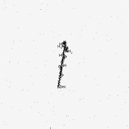 CCCCCCCCCCCCCCCCCCCC(=O)COCCOCC(=O)NCCOCCOCC(=O)NCCCC[C@H](CC(=O)[C@@H](N)Cc1cnc[nH]1)C(N)=O